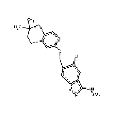 CSNc1noc2cc(COc3ccc4c(c3)CCC(C)(C)C4)c(Cl)cc12